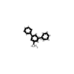 Cc1cc(-c2ccccc2)cc(-c2ccccc2)c1